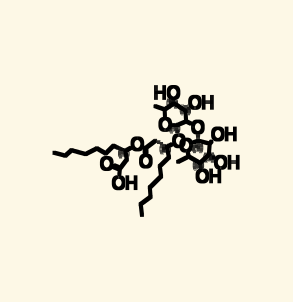 CCCCCCC[C@H](CC(=O)O)OC(=O)C[C@@H](CCCCCCC)O[C@@H]1OC(C)[C@H](O)[C@H](O)C1O[C@@H]1OC(C)[C@H](O)[C@H](O)C1O